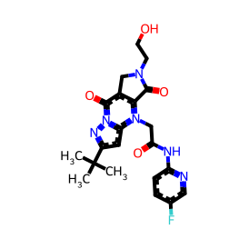 CC(C)(C)c1cc2n(CC(=O)Nc3ccc(F)cn3)c3c(c(=O)n2n1)CN(CCO)C3=O